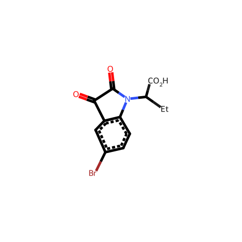 CCC(C(=O)O)N1C(=O)C(=O)c2cc(Br)ccc21